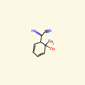 CC1(O)C=CC=CC1C(=N)C#N